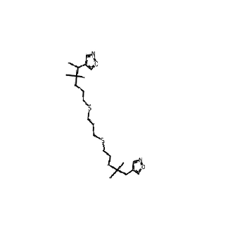 CC(c1cnoc1)C(C)(C)CCCSCCCSCCCC(C)(C)Cc1cnoc1